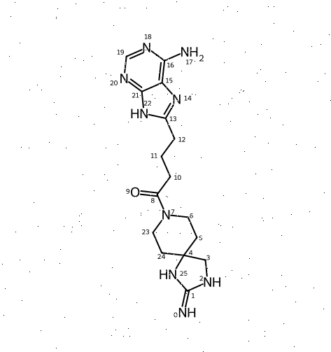 N=C1NCC2(CCN(C(=O)CCCc3nc4c(N)ncnc4[nH]3)CC2)N1